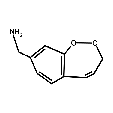 NCc1ccc2c(c1)OOCC=C2